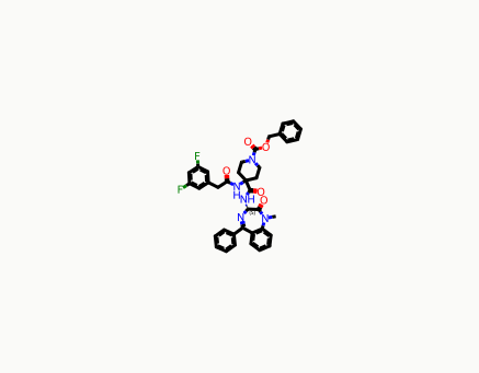 CN1C(=O)[C@@H](NC(=O)C2(NC(=O)Cc3cc(F)cc(F)c3)CCN(C(=O)OCc3ccccc3)CC2)N=C(c2ccccc2)c2ccccc21